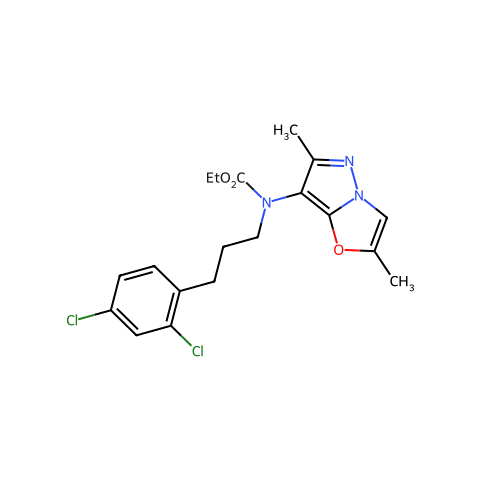 CCOC(=O)N(CCCc1ccc(Cl)cc1Cl)c1c(C)nn2cc(C)oc12